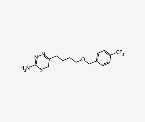 NC1=NN=C(CCCCOCc2ccc(C(F)(F)F)cc2)CS1